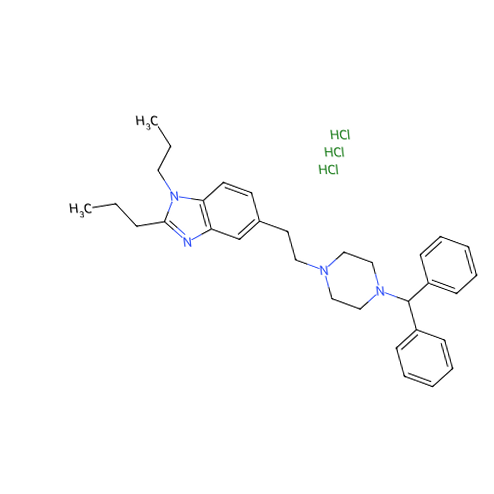 CCCc1nc2cc(CCN3CCN(C(c4ccccc4)c4ccccc4)CC3)ccc2n1CCC.Cl.Cl.Cl